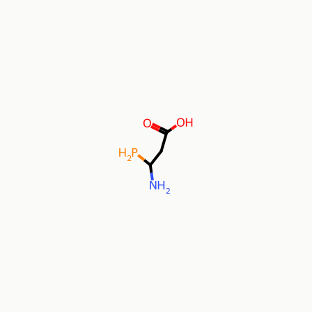 NC(P)CC(=O)O